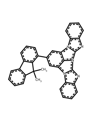 CC1(C)c2ccccc2-c2cccc(-c3cc4c5c(c3)n3c6ccccc6nc3n5c3nc5ccccc5n43)c21